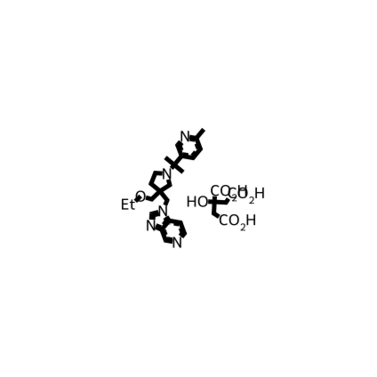 CCOCC1(Cn2cnc3cnccc32)CCN(C(C)(C)c2ccc(C)nc2)C1.O=C(O)CC(O)(CC(=O)O)C(=O)O